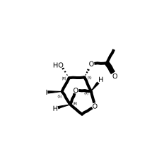 CC(=O)O[C@@H]1[C@@H]2OC[C@@H](O2)[C@@H](I)[C@@H]1O